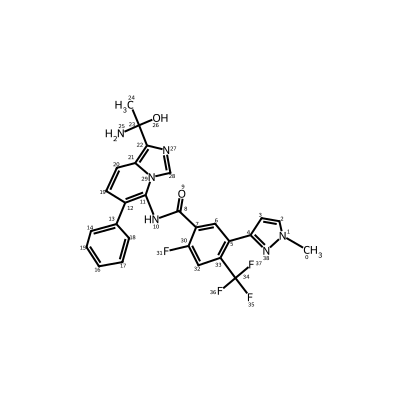 Cn1ccc(-c2cc(C(=O)Nc3c(-c4ccccc4)ccc4c(C(C)(N)O)ncn34)c(F)cc2C(F)(F)F)n1